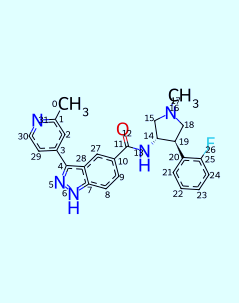 Cc1cc(-c2n[nH]c3ccc(C(=O)N[C@@H]4CN(C)C[C@H]4c4ccccc4F)cc23)ccn1